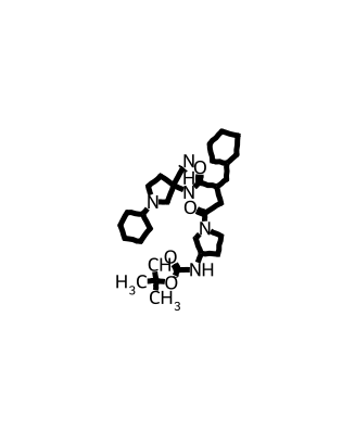 CC(C)(C)OC(=O)NC1CCN(C(=O)CC(CC2CCCCC2)C(=O)NC2(C#N)CCN(C3CCCCC3)C2)C1